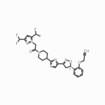 C#CCOc1ccccc1[C@H]1CC(c2csc(C3CCN(C(=O)Cn4nc(C(F)F)cc4C(F)F)CC3)n2)=NO1